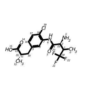 CC([C@H](N)C(=O)Nc1cc(C[C@H](C)C(=O)O)ccc1Cl)C(F)(F)F